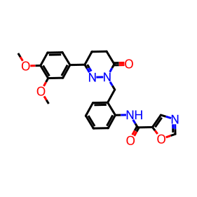 COc1ccc(C2=NN(Cc3ccccc3NC(=O)c3cnco3)C(=O)CC2)cc1OC